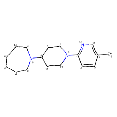 CCc1ccc(N2CCC(N3CCCCCC3)CC2)nc1